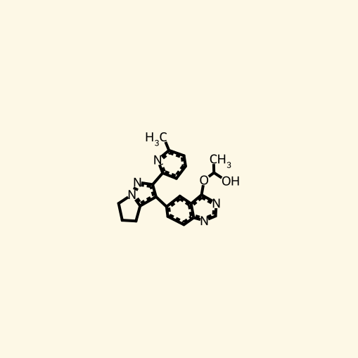 Cc1cccc(-c2nn3c(c2-c2ccc4ncnc(OC(C)O)c4c2)CCC3)n1